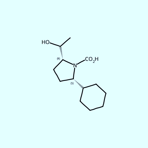 CC(O)[C@H]1CC[C@@H](C2CCCCC2)N1C(=O)O